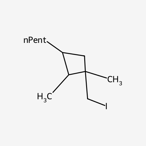 CCCCCC1CC(C)(CI)C1C